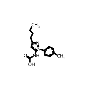 CCCCc1cc(NC(=O)O)n(-c2ccc(C)cc2)n1